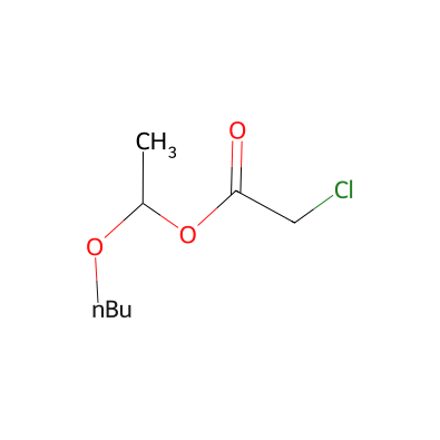 CCCCOC(C)OC(=O)CCl